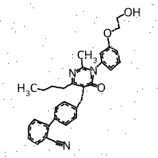 CCCCc1nc(C)n(-c2cccc(OCCO)c2)c(=O)c1Cc1ccc(-c2ccccc2C#N)cc1